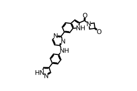 O=C1CN(C(=O)c2cc3ccc(-c4nccc(Nc5ccc(-c6cn[nH]c6)cc5)n4)cc3[nH]2)C1